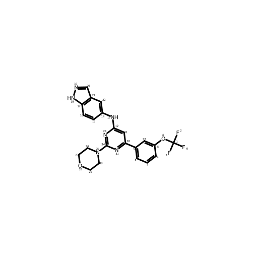 FC(F)(F)Oc1cccc(-c2cc(Nc3ccc4[nH]ncc4c3)nc(N3CCOCC3)n2)c1